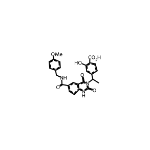 COc1ccc(CNC(=O)c2ccc3[nH]c(=O)n(C(C)c4ccc(C(=O)O)c(O)c4)c(=O)c3c2)cc1